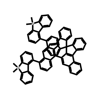 C[Si]1(C)c2ccccc2-c2c(-c3cccc4c(-c5cc6ccccc6c6c5C5(c7ccccc7-c7ccccc75)c5ccccc5-6)c5cccc(-c6cccc7c6-c6ccccc6[Si]7(C)C)c5cc34)cccc21